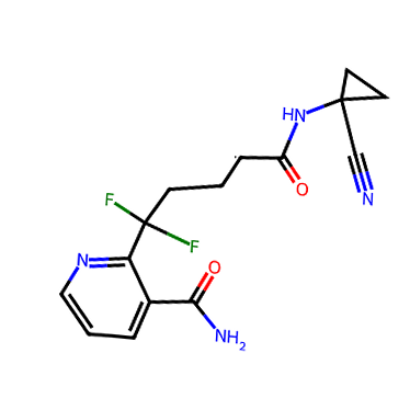 N#CC1(NC(=O)[CH]CCC(F)(F)c2ncccc2C(N)=O)CC1